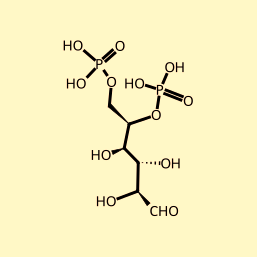 O=C[C@@H](O)[C@@H](O)[C@@H](O)[C@@H](COP(=O)(O)O)OP(=O)(O)O